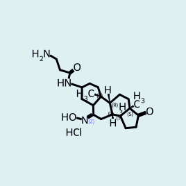 C[C@]12CCC(NC(=O)CCN)CC1/C(=N\O)C[C@@H]1[C@H]2CC[C@]2(C)C(=O)CC[C@@H]12.Cl